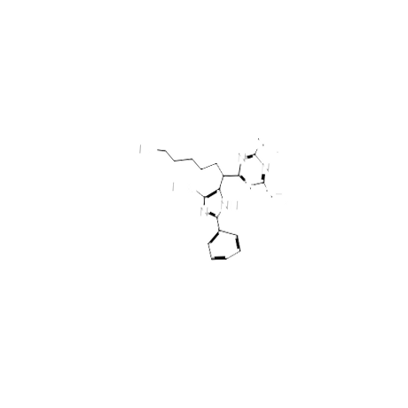 CCCCCCC(c1nc(N)nc(N)n1)c1[nH]c(-c2ccccc2)nc1C